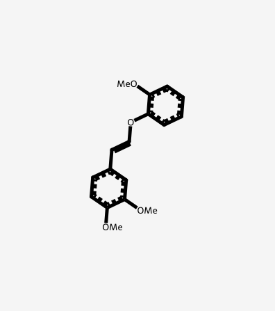 COc1ccc(C=COc2ccccc2OC)cc1OC